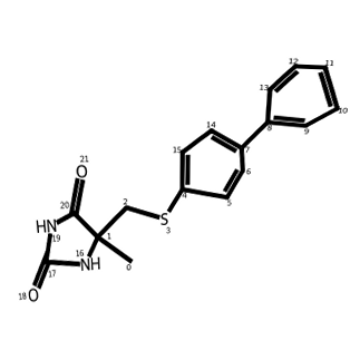 CC1(CSc2ccc(-c3ccccc3)cc2)NC(=O)NC1=O